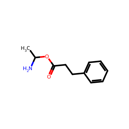 CC(N)OC(=O)CCc1ccccc1